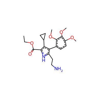 CCOC(=O)c1[nH]c(CCN)c(-c2ccc(OC)c(OC)c2OC)c1C1CC1